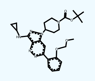 COCOc1ccccc1-c1cc2c(nn1)c(NC1CC1)nn2C1CCN(C(=O)OC(C)(C)C)CC1